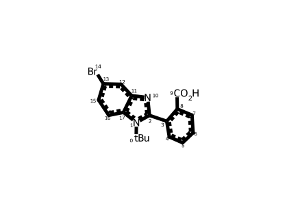 CC(C)(C)n1c(-c2ccccc2C(=O)O)nc2cc(Br)ccc21